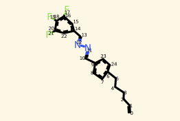 C=CCCCCc1ccc(/C=N/N=C/c2cc(F)c(F)c(F)c2)cc1